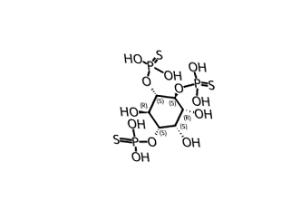 O[C@@H]1[C@H](O)[C@H](OP(O)(O)=S)[C@@H](O)[C@H](OP(O)(O)=S)[C@H]1OP(O)(O)=S